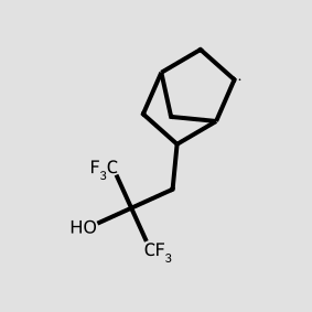 OC(CC1CC2C[CH]C1C2)(C(F)(F)F)C(F)(F)F